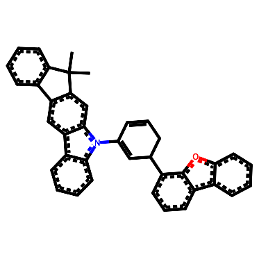 CC1(C)c2ccccc2-c2cc3c4ccccc4n(C4=CC(c5cccc6c5oc5ccccc56)CC=C4)c3cc21